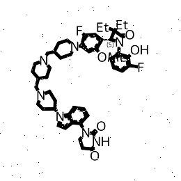 CCC1(CC)C(=O)N(c2cccc(F)c2O)[C@H]1c1cc(F)c(N2CCC(CN3CCC(CN4CCC(n5ccc6c(N7CCC(=O)NC7=O)cccc65)CC4)CC3)CC2)cc1OC